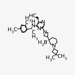 B[C@]1(C2CN(c3cnc(C#C)c(N[C@H](C)c4ccc(C)cc4C)n3)C2)CCCN(C2CC(C)(C)C2)C1